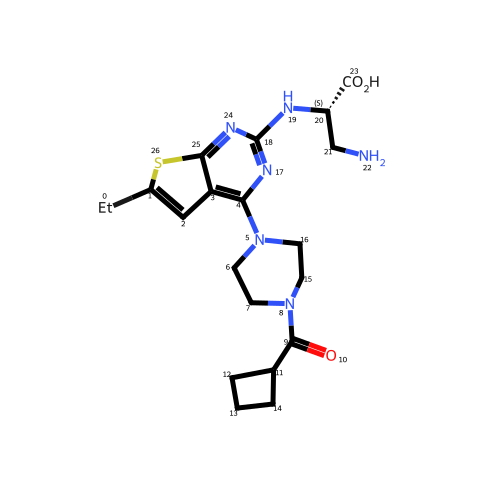 CCc1cc2c(N3CCN(C(=O)C4CCC4)CC3)nc(N[C@@H](CN)C(=O)O)nc2s1